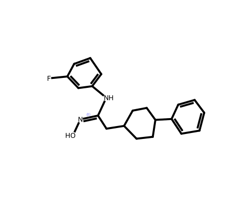 O/N=C(\CC1CCC(c2ccccc2)CC1)Nc1cccc(F)c1